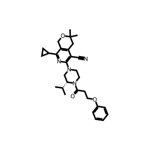 CC(C)[C@@H]1CN(c2nc(C3CC3)c3c(c2C#N)CC(C)(C)OC3)CCN1C(=O)CCOc1ccccc1